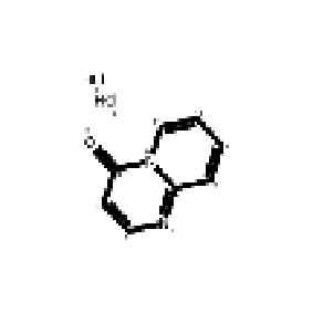 Cl.Cl.O=c1ccnc2ccccn12